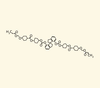 C=CC(=O)OCOC1CCC(C(=O)OC2CCC(OC(=O)Oc3cccc4c3C3(CC4)CCc4cccc(OC(=O)OC5CCC(OC(=O)C6CCC(OCOC(=O)C=C)CC6)CC5)c43)CC2)CC1